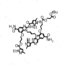 CCn1nc(C)cc1C(=O)Nc1nc2cc(C(N)=O)cc(OCCCOC(=O)c3cc(C)nn3CC)c2n1CC=CCn1c2nc(-c3cc(C)nn3CC)ncc2c2cc(C(N)=O)cc(OCCCNC(=O)OCCC(=O)OC(C)(C)C)c21